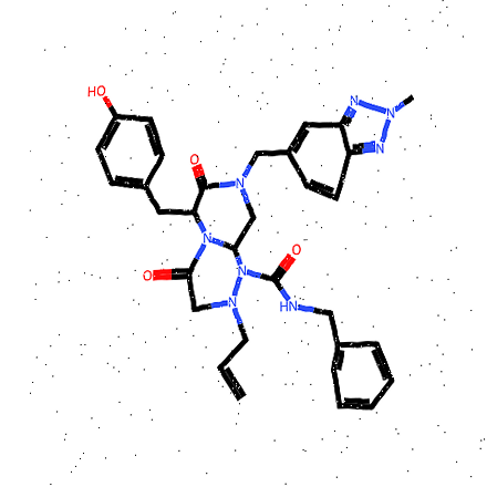 C=CCN1CC(=O)N2C(Cc3ccc(O)cc3)C(=O)N(Cc3ccc4nn(C)nc4c3)CC2N1C(=O)NCc1ccccc1